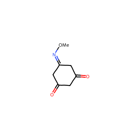 CON=C1CC(=O)CC(=O)C1